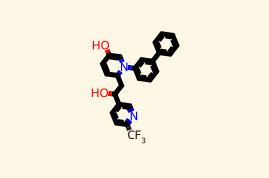 OC1=CN(c2cccc(-c3ccccc3)c2)C(CC(O)c2ccc(C(F)(F)F)nc2)C=C1